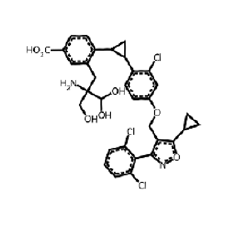 NC(CO)(Cc1cc(C(=O)O)ccc1C1CC1c1ccc(OCc2c(-c3c(Cl)cccc3Cl)noc2C2CC2)cc1Cl)C(O)O